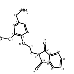 COc1cc(CN)ccc1OCCN1C(=O)c2ccccc2C1=O